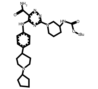 CC(C)(C)OC(=O)NC1CCCN(c2nnc(C(N)=O)c(Nc3ccc(C4CCN(C5CCCC5)CC4)cc3)n2)C1